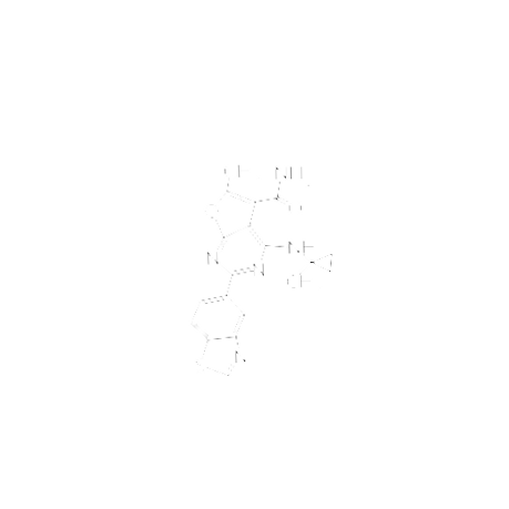 Cc1oc2nc(-c3ccc4scnc4c3)nc(NC3(C)CC3)c2c1C(N)=O